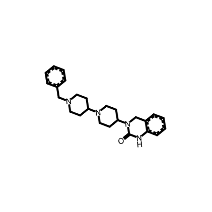 O=C1Nc2ccccc2CN1C1CCN(C2CCN(Cc3ccccc3)CC2)CC1